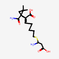 CC1(C)CC1(C(N)=O)C(=CCCCCSC(N)CC(=O)O)C(=O)O